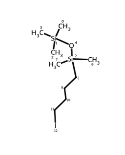 C[Si](C)(C)O[Si](C)(C)CCCCI